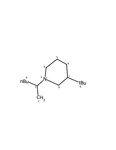 CCCCC(C)N1CCCC(C(C)(C)C)C1